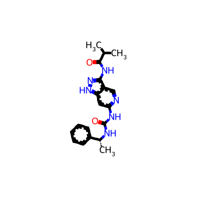 CC(C)C(=O)Nc1n[nH]c2cc(NC(=O)N[C@H](C)c3ccccc3)ncc12